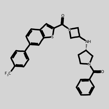 O=C(c1ccccc1)N1CC[C@H](NC2CN(C(=O)c3cc4ccc(-c5ccc(C(F)(F)F)cc5)cc4s3)C2)C1